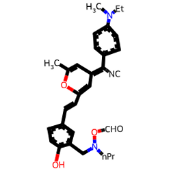 [C-]#[N+]/C(=C1/C=C(C)OC(/C=C/c2ccc(O)c(CN(CCC)OC=O)c2)=C1)c1ccc(N(C)CC)cc1